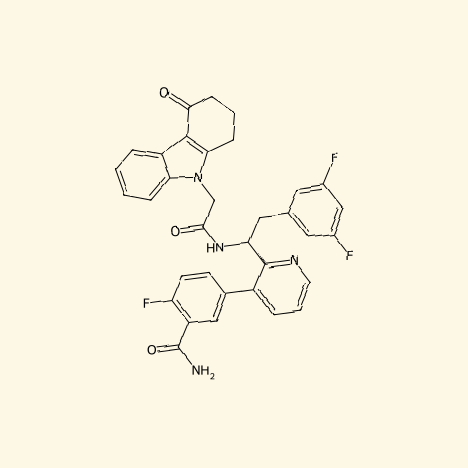 NC(=O)c1cc(-c2cccnc2C(Cc2cc(F)cc(F)c2)NC(=O)Cn2c3c(c4ccccc42)C(=O)CCC3)ccc1F